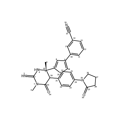 CN1C(=N)N[C@](C)(c2cc(-c3cccc(C#N)c3)cs2)C(c2ccc(N3CCCC3=O)cc2)C1=O